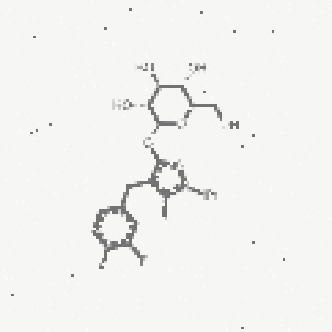 Cc1ccc(Cc2c(O[C@H]3O[C@H](CO)[C@@H](O)[C@H](O)[C@H]3O)nn(C(C)C)c2C)cc1F